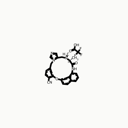 C[C@@H]1C(=O)Nc2cccc3ccc(cc23)Oc2cc(ccc2C#N)Cn2cncc2CN1C.O=C(O)C(F)(F)F